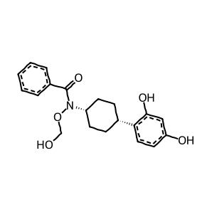 O=C(c1ccccc1)N(OCO)[C@H]1CC[C@@H](c2ccc(O)cc2O)CC1